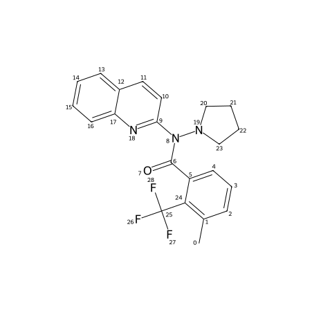 Cc1cccc(C(=O)N(c2ccc3ccccc3n2)N2CCCC2)c1C(F)(F)F